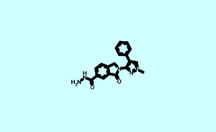 Cn1cc(-c2ccccc2)c(N2Cc3ccc(C(=O)NN)cc3C2=O)n1